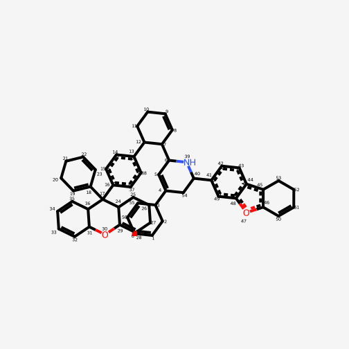 C1=CCC(C2=CC(C3C=CCCC3c3ccc(C4(C5=CCCC=C5)C5CCCC=C5OC5C=CC=CC54)cc3)NC(c3ccc4c5c(oc4c3)C=CCC5)C2)C=C1